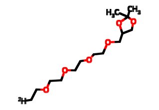 [2H]CCOCCOCCOCCOCC1COC(C)(C)O1